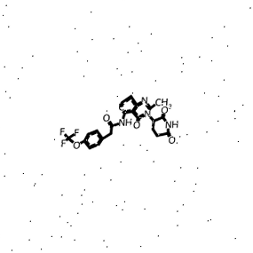 Cc1nc2cccc(NC(=O)Cc3ccc(OC(F)(F)F)cc3)c2c(=O)n1C1CCC(=O)NC1=O